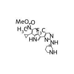 COC(=O)N(C)c1ccc2c(-c3nc(N[C@H]4CCCNC4)ncc3C(F)(F)F)c[nH]c2c1C1CC1